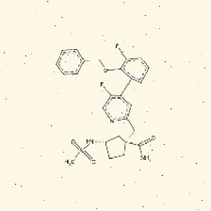 CS(=O)(=O)N[C@H]1CC[C@](Cc2cc(-c3cccc(F)c3OCc3ccccc3)c(F)cn2)(C(N)=O)C1